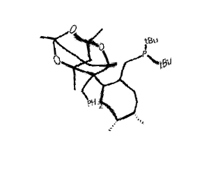 C[C@@H]1CC(C2(CP)C3(C)CC4(C)OC(C)(CC2(C)O4)O3)C(CP(C(C)(C)C)C(C)(C)C)C[C@@H]1C